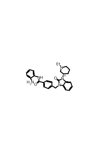 CCN1CCC[C@@H](n2c(=O)n(Cc3ccc(C(=O)Nc4ccccc4N)cc3)c3ccccc32)C1